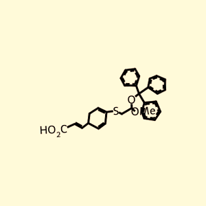 COC(CSC1=CCC(C=CC(=O)O)C=C1)OC(c1ccccc1)(c1ccccc1)c1ccccc1